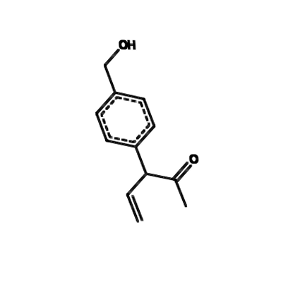 C=CC(C(C)=O)c1ccc(CO)cc1